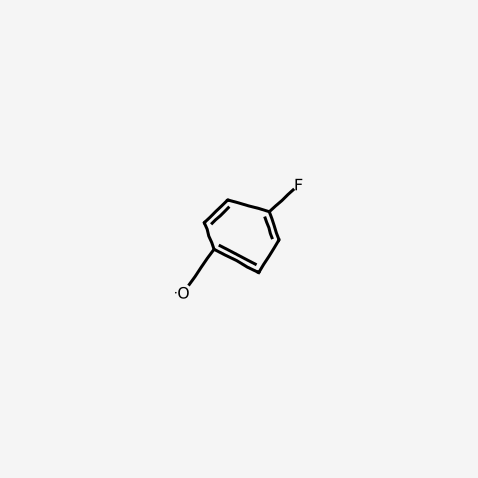 [O]c1ccc(F)cc1